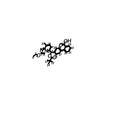 CCOc1cn2c([C@H](OC(=O)C(C)(C)C)c3ccc(-c4ccccc4C(=O)O)cc3)ccc(C)c2n1